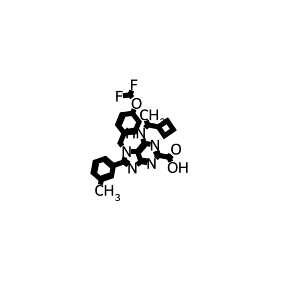 Cc1cccc(-c2nc3nc(C(=O)O)nc(NC(C)C4CCC4)c3n2CC2=CCC(OC(F)F)C=C2)c1